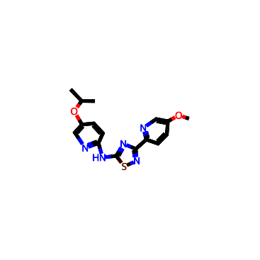 COc1ccc(-c2nsc(Nc3ccc(OC(C)C)cn3)n2)nc1